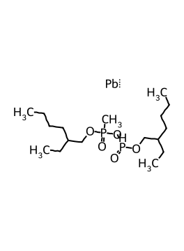 CCCCC(CC)CO[PH](=O)OP(C)(=O)OCC(CC)CCCC.[Pb]